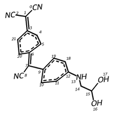 N#CC(C#N)=c1ccc(=C(C#N)c2ccc(NCC(O)O)cc2)cc1